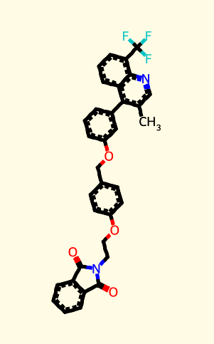 Cc1cnc2c(C(F)(F)F)cccc2c1-c1cccc(OCc2ccc(OCCN3C(=O)c4ccccc4C3=O)cc2)c1